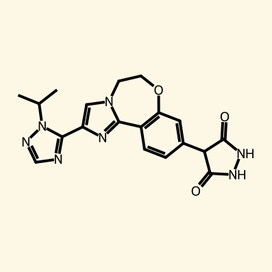 CC(C)n1ncnc1-c1cn2c(n1)-c1ccc(C3C(=O)NNC3=O)cc1OCC2